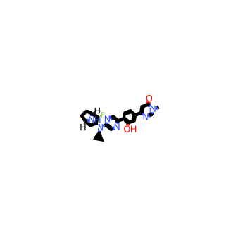 Cn1cnc(-c2ccc(-c3cnc(N(C4CC4)[C@@H]4C[C@H]5CC[C@H](N5)[C@@H]4F)cn3)c(O)c2)cc1=O